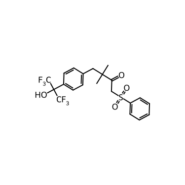 CC(C)(Cc1ccc(C(O)(C(F)(F)F)C(F)(F)F)cc1)C(=O)CS(=O)(=O)c1ccccc1